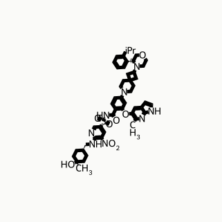 Cc1nc2[nH]ccc2cc1Oc1cc(N2CCC3(CC2)CC(N2CCOC[C@H]2c2ccccc2C(C)C)C3)ccc1C(=O)NS(=O)(=O)c1cnc(NC[C@H]2CC[C@](C)(O)CC2)c([N+](=O)[O-])c1